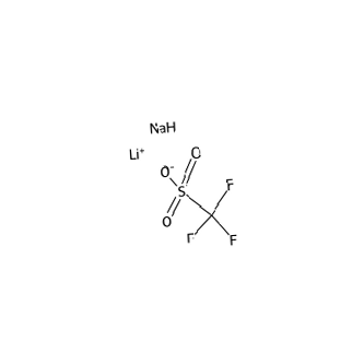 O=S(=O)([O-])C(F)(F)F.[Li+].[NaH]